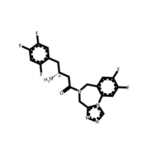 N[C@@H](CC(=O)N1Cc2cc(F)c(F)cc2-n2cnnc2C1)Cc1cc(F)c(F)cc1F